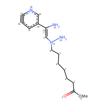 COC(=O)CCCCCCN(N)/C=C(\N)c1cc#cnc1